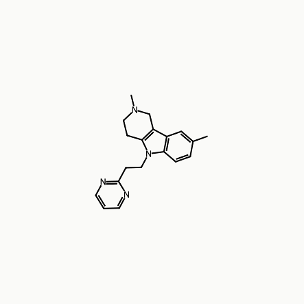 Cc1ccc2c(c1)c1c(n2CCc2ncccn2)CCN(C)C1